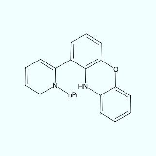 CCCN1CC=CC=C1c1cccc2c1Nc1ccccc1O2